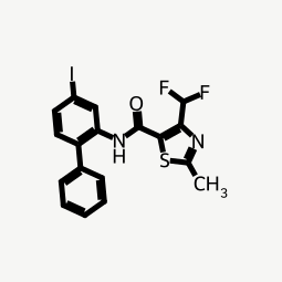 Cc1nc(C(F)F)c(C(=O)Nc2cc(I)ccc2-c2ccccc2)s1